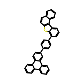 c1ccc2c(c1)ccc1sc3c(-c4ccc(-c5ccc6c7ccccc7c7ccccc7c6c5)cc4)cccc3c12